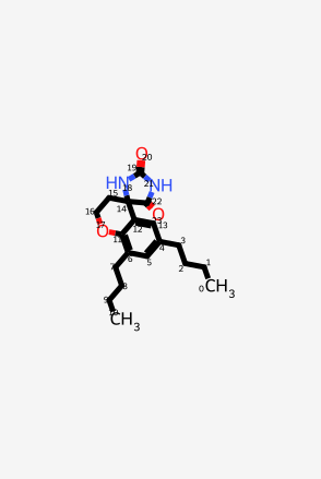 CCCCc1cc(CCCC)c2c(c1)C1(CCO2)NC(=O)NC1=O